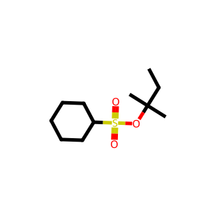 CCC(C)(C)OS(=O)(=O)C1CCCCC1